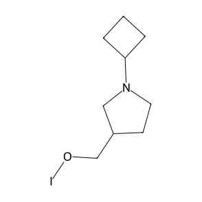 IOCC1CCN(C2CCC2)C1